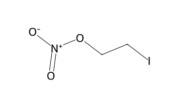 O=[N+]([O-])OCCI